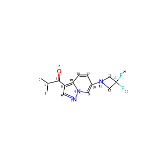 CC(C)C(=O)c1cnn2cc(N3CC(F)(F)C3)ccc12